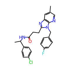 Cc1cnc2c(c1)nc(CCC(=O)NC(C)c1ccc(Cl)cc1)n2Cc1ccc(F)cc1